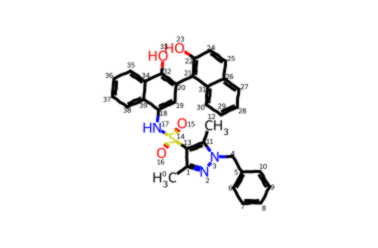 Cc1nn(Cc2ccccc2)c(C)c1S(=O)(=O)Nc1cc(-c2c(O)ccc3ccccc23)c(O)c2ccccc12